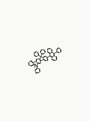 c1ccc(-c2c3ccccc3c(-c3ccc4c(c3)C(c3ccccc3)(c3ccccc3)c3cc5c6ccccc6n(-c6ccccc6)c5cc3-4)c3ccccc23)cc1